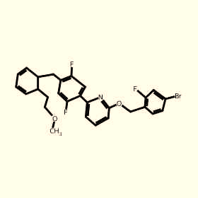 COCCC1C=CC=CC1Cc1cc(F)c(-c2cccc(OCc3ccc(Br)cc3F)n2)cc1F